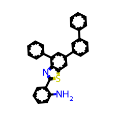 Nc1ccccc1-c1nc2c(-c3ccccc3)cc(-c3cccc(-c4ccccc4)c3)cc2s1